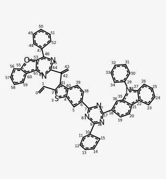 C=Cc1sc2cc(-c3nc(-c4ccccc4)nc(-c4ccc5c6ccccc6n(-c6ccccc6)c5c4)n3)ccc2c1C(=C)c1nc(-c2ccccc2)c2oc3ccccc3c2n1